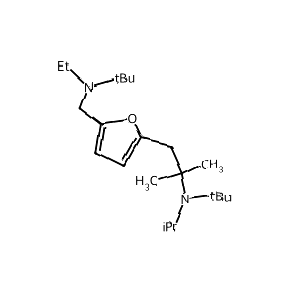 CCN(Cc1ccc(CC(C)(C)N(C(C)C)C(C)(C)C)o1)C(C)(C)C